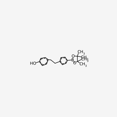 CC1(C)OB(c2ccc(CCc3ccc(O)cc3)cc2)OC1(C)C